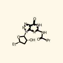 CC[C@@H]1C[C@@H](O)[C@H](n2nnc3c(=O)[nH]c(NC(=O)C(C)C)nc32)O1